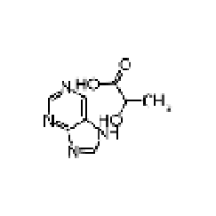 CC(O)C(=O)O.c1ncc2[nH]cnc2n1